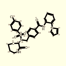 O=C(Nc1ccccc1-n1cccc1)c1ccc(CN([C@@H]2CCCCNC2=O)S(=O)(=O)c2ccc(Cl)cc2)cc1